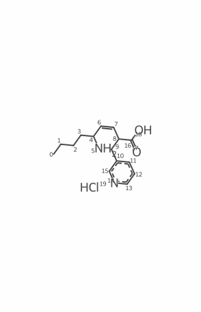 CCCCC(N)/C=C\C(Cc1cccnc1)C(=O)O.Cl